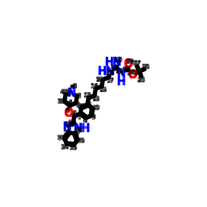 CN1CCC(OC(c2cccc(CCCCCCNC(=N)NC(=O)OC(C)(C)C)c2)c2nc3ccccc3[nH]2)CC1